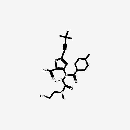 CC1CCC(C(=O)N(c2cc(C#CC(C)(C)C)sc2C(=O)O)[C@@H](C)C(=O)N(C)CCO)CC1